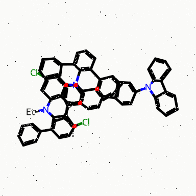 CCN(c1cc(Cl)cc2c1B(C(C)[C@@H](C)Cl)c1ccc(-c3ccc(-n4c5ccccc5c5ccccc54)cc3)cc1N2c1c(-c2ccccc2)cccc1-c1ccccc1)c1c(-c2ccccc2)cccc1-c1ccccc1